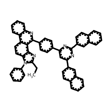 CCc1nc2c3c(-c4ccc(-c5cc(-c6ccc7ccccc7c6)nc(-c6ccc7ccccc7c6)n5)cc4)nc4ccccc4c3ccc2n1-c1ccccc1